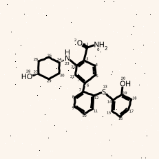 NC(=O)c1ccc(-c2ccccc2Sc2ccccc2O)cc1N[C@H]1CC[C@H](O)CC1